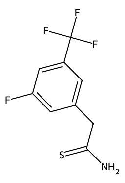 NC(=S)Cc1cc(F)cc(C(F)(F)F)c1